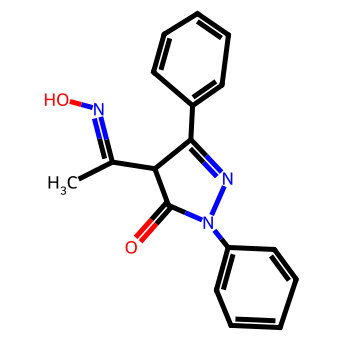 C/C(=N\O)C1C(=O)N(c2ccccc2)N=C1c1ccccc1